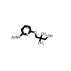 CC(=O)Nc1cccc(OCC(C)(C)CO)n1